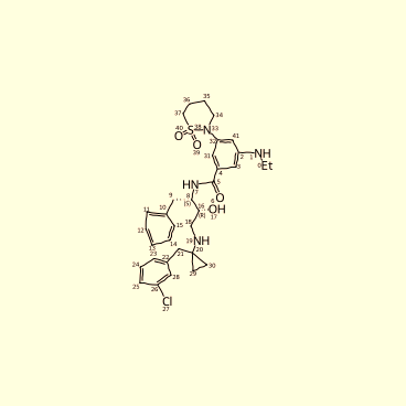 CCNc1cc(C(=O)N[C@@H](Cc2ccccc2)[C@H](O)CNC2(Cc3cccc(Cl)c3)CC2)cc(N2CCCCS2(=O)=O)c1